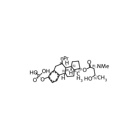 CCC[C@@H]1Cc2cc(OP(=O)(O)O)ccc2[C@H]2CC[C@]3(C)[C@@H](OC(=O)[C@H](NC)[C@H](C)O)CC[C@H]3[C@H]12